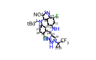 CC(C)(C)CNc1c(C#N)cnc2c(F)cc(N[C@H](C3=CN(C4(C(F)(F)F)CC4)NN3)c3ccccc3Cl)cc12